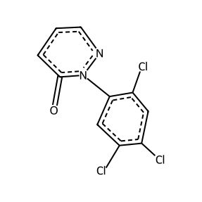 O=c1cccnn1-c1cc(Cl)c(Cl)cc1Cl